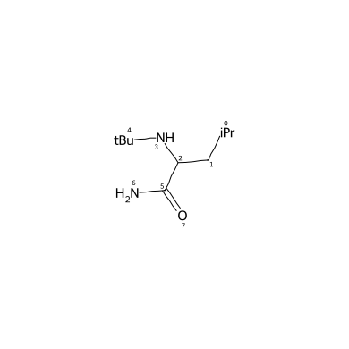 CC(C)CC(NC(C)(C)C)C(N)=O